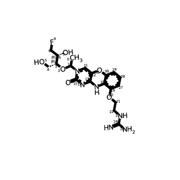 CC(O[C@H](CO)[C@@H](O)CF)n1cc2c(nc1=O)Nc1c(OCCNC(=N)N)cccc1O2